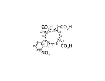 O=C(O)CN1CCN(CC(=O)O)CCN(Cc2ccccc2[N+](=O)[O-])CCN(CC(=O)O)CC1